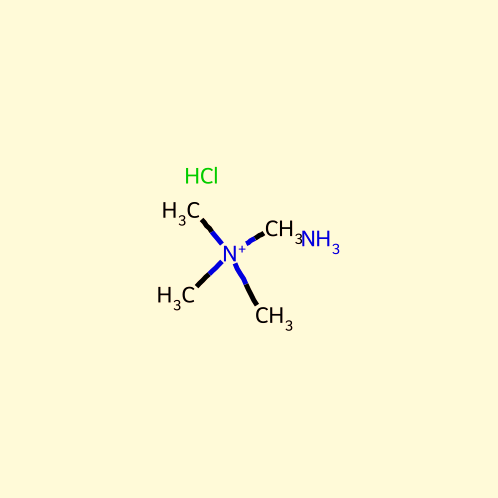 C[N+](C)(C)C.Cl.N